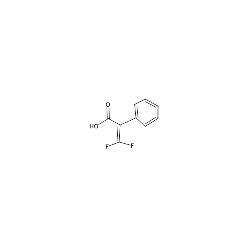 O=C(O)C(=C(F)F)c1ccccc1